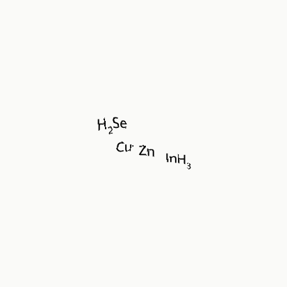 [Cu].[InH3].[SeH2].[Zn]